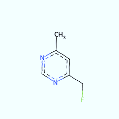 Cc1cc(CF)ncn1